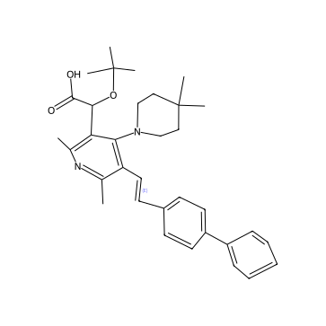 Cc1nc(C)c(C(OC(C)(C)C)C(=O)O)c(N2CCC(C)(C)CC2)c1/C=C/c1ccc(-c2ccccc2)cc1